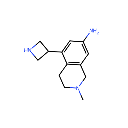 CN1CCc2c(cc(N)cc2C2CNC2)C1